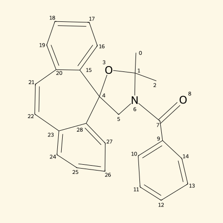 CC1(C)OC2(CN1C(=O)c1ccccc1)c1ccccc1C=Cc1ccccc12